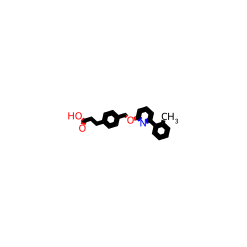 Cc1ccccc1-c1cccc(OCc2ccc(CCC(=O)O)cc2)n1